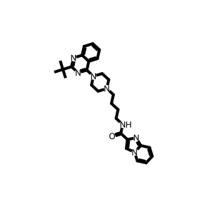 CC(C)(C)c1nc(N2CCN(CCCCNC(=O)c3cn4ccccc4n3)CC2)c2ccccc2n1